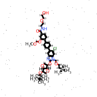 COCOc1cc(C(=O)NCCOCCO)ccc1-c1ccc(-c2cc3nc(O[C@@H]4CO[C@@H]5C(O[Si](C)(C)C(C)(C)C)CO[C@@H]54)n(COCC[Si](C)(C)C)c3cc2Cl)cc1